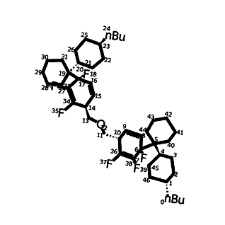 CCCC[C@H]1CC[C@H](C2([C@@]3(F)C=C[C@@H](COC[C@@H]4C=C[C@](F)(C5([C@H]6CC[C@H](CCCC)CC6)CCCCC5)C(F)=C4F)C(F)=C3F)CCCCC2)CC1